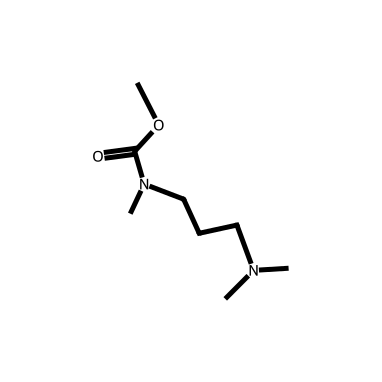 COC(=O)N(C)CCCN(C)C